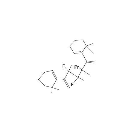 C=C(C1=CCCCC1(C)C)C(C)(F)C(C)(F)C(C)(C(=C)C1=CCCCC1(C)C)C(C)C